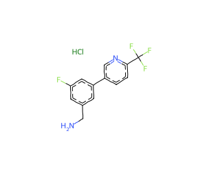 Cl.NCc1cc(F)cc(-c2ccc(C(F)(F)F)nc2)c1